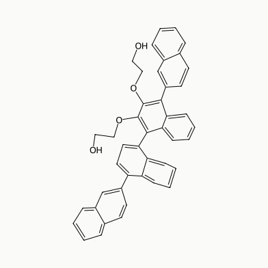 OCCOc1c(OCCO)c(-c2ccc(-c3ccc4ccccc4c3)c3ccccc23)c2ccccc2c1-c1ccc2ccccc2c1